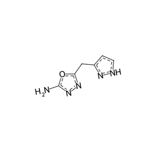 Nc1nnc(Cc2cc[nH]n2)o1